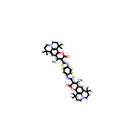 CC1(C)CCN2CCC(C)(C)c3c2c1cc1c(C#N)c(-c2nc4cc5sc(-c6c(C#N)c7cc8c9c(c7oc6=O)C(C)(C)CCN9CCC8(C)C)nc5cc4s2)c(=O)oc31